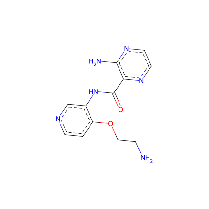 NCCOc1ccncc1NC(=O)c1nccnc1N